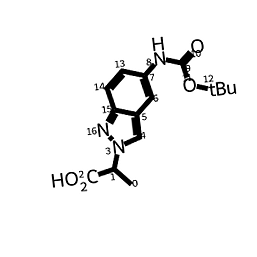 CC(C(=O)O)n1cc2cc(NC(=O)OC(C)(C)C)ccc2n1